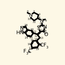 CN1CCC(N(C)C2=NC(=O)C(=C(Cc3ccc(C(F)(F)F)cc3C(F)(F)F)c3ccc4[nH]ncc4c3)S2)CC1